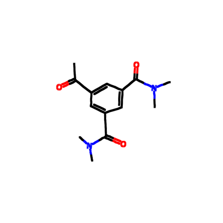 CC(=O)c1cc(C(=O)N(C)C)cc(C(=O)N(C)C)c1